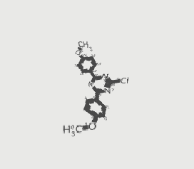 COc1ccc(-c2nc(Cl)nc(-c3ccc(OC)cc3)n2)cc1